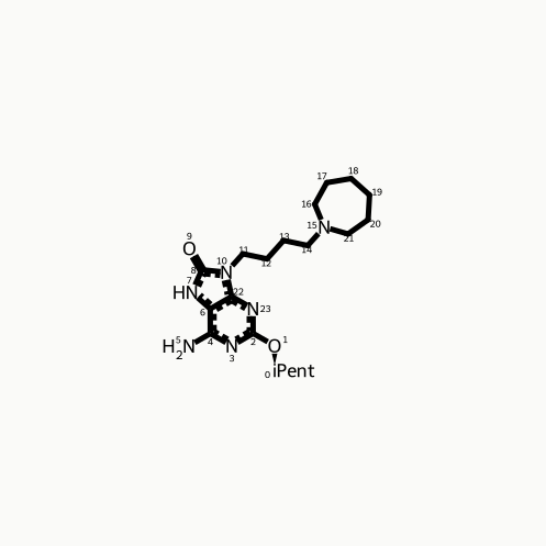 CCC[C@H](C)Oc1nc(N)c2[nH]c(=O)n(CCCCN3CCCCCC3)c2n1